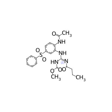 CCCC(=O)/N=C(\NC(=O)OC)Nc1cc(S(=O)(=O)c2ccccc2)ccc1NC(C)=O